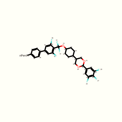 CCCCCc1ccc(-c2cc(F)c(C(F)(F)OC3CCC(C4COC(c5cc(F)c(F)c(F)c5)OC4)CC3)c(F)c2)cc1